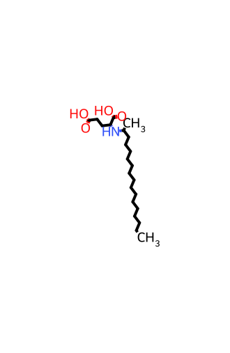 CCCCCCCCCCCCCCCC(C)NC(CCC(=O)O)C(=O)O